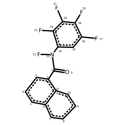 O=C(c1cccc2ccccc12)N(F)c1cc(F)c(F)c(F)c1F